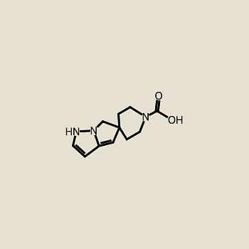 O=C(O)N1CCC2(C=C3C=CNN3C2)CC1